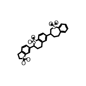 O=S1(=O)CCc2ccc(C3CCc4cc(C5CCc6ccccc6S(=O)(=O)C5)ccc4S3(=O)=O)cc21